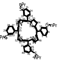 CCCSc1cccc(-c2c3nc(c(-c4cccc(SCCC)c4)c4ccc([nH]4)c(-c4cccc(SCCC)c4)c4nc(c(-c5cccc(SCCC)c5)c5ccc2[nH]5)C=C4)C=C3)c1